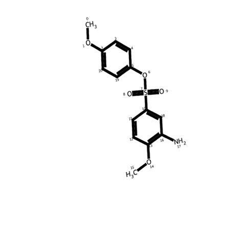 COc1ccc(OS(=O)(=O)c2ccc(OC)c(N)c2)cc1